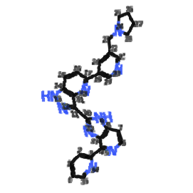 c1ccc(-c2nccc3[nH]c(-c4n[nH]c5ccc(-c6cncc(CN7CCCC7)c6)nc45)nc23)nc1